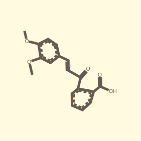 COc1ccc(/C=C/C(=O)c2ccccc2C(=O)O)cc1OC